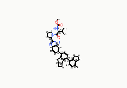 COC(=O)N[C@H](C(=O)N1CCCC1c1nc2ccc(-c3ccc(-c4ccc(C)c5c4CCC5)c4c3CC3CCC43)cc2[nH]1)C(C)C